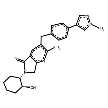 Cc1nc2c(cc1Cc1ccc(-c3cnn(C)c3)cc1)C(=O)N([C@H]1CCCC[C@@H]1O)C2